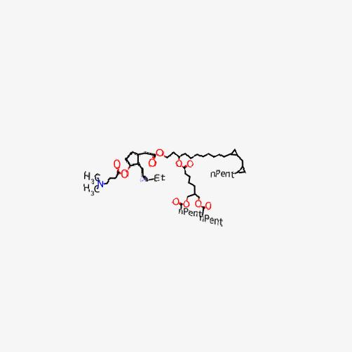 CC/C=C\CC1C(CC(=O)OCCC(CCCCCCCCC2CC2CC2CC2CCCCC)OC(=O)CCCCC(COC(=O)CCCCC)COC(=O)CCCCC)CCC1OC(=O)CCCN(C)C